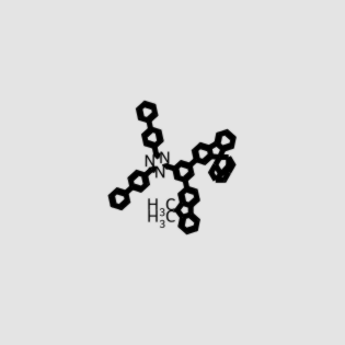 CC1(C)c2ccccc2-c2ccc(-c3cc(-c4ccc5c(c4)C4(c6ccccc6-5)C5CC6CC(C5)CC4C6)cc(-c4nc(-c5ccc(-c6ccccc6)cc5)nc(-c5ccc(-c6ccccc6)cc5)n4)c3)cc21